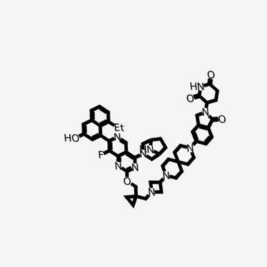 CCc1cccc2cc(O)cc(-c3ncc4c(N5CC6CCC(C5)N6)nc(OCC5(CN6CC(N7CCC8(CCN(c9ccc%10c(c9)CN(C9CCC(=O)NC9=O)C%10=O)CC8)CC7)C6)CC5)nc4c3F)c12